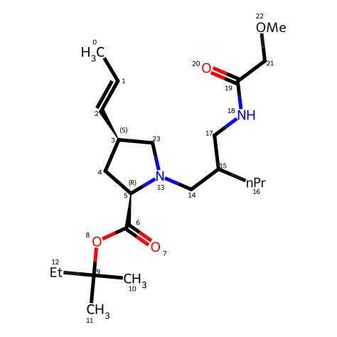 CC=C[C@@H]1C[C@H](C(=O)OC(C)(C)CC)N(CC(CCC)CNC(=O)COC)C1